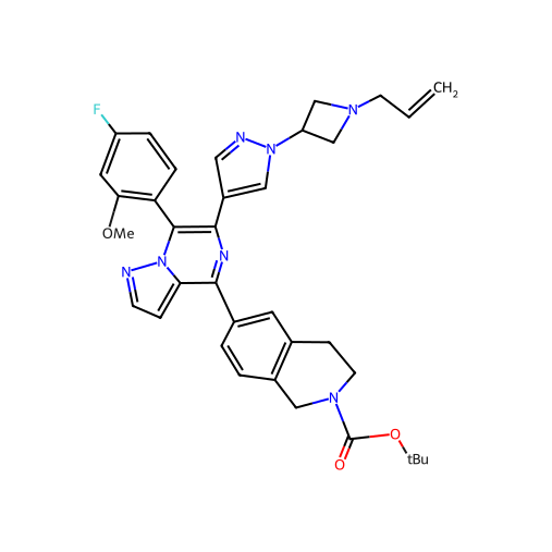 C=CCN1CC(n2cc(-c3nc(-c4ccc5c(c4)CCN(C(=O)OC(C)(C)C)C5)c4ccnn4c3-c3ccc(F)cc3OC)cn2)C1